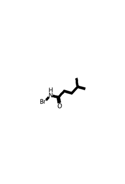 CC(C)CCC(=O)NBr